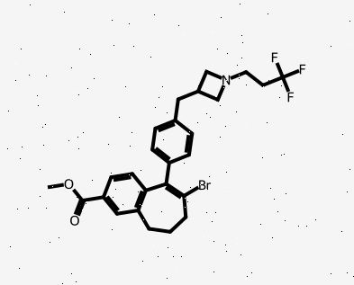 COC(=O)c1ccc2c(c1)CCCC(Br)=C2c1ccc(CC2CN(CCC(F)(F)F)C2)cc1